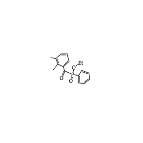 CCOP(=O)(C(=O)c1cccc(C)c1C)c1ccccc1